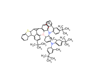 CC1=CC(C(C)(C)C)=CCC1N(C1=CCC2B3c4cc(C(C)(C)C)cc5c4C4=C(c6cc(C)cc(c63)N(c3ccc(C(C)(C)C)cc3-c3ccccc3)C2C1)C4C1SC2=CC=CCC2C51)C1=CC=C(C(C)(C)C)CC1C